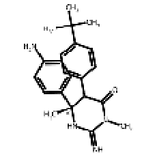 CN1C(=N)N[C@](C)(c2ccc(N)cc2)C(c2ccc(C(C)(C)C)cc2)C1=O